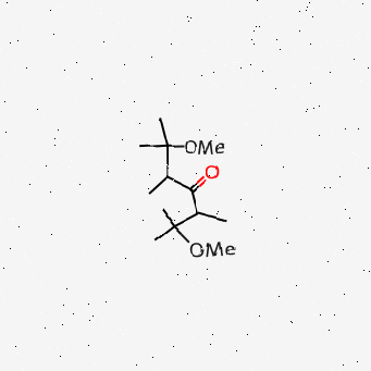 COC(C)(C)C(C)C(=O)C(C)C(C)(C)OC